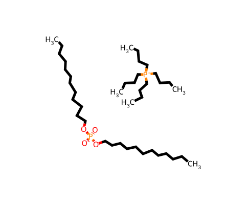 CCCCCCCCCCCCOP(=O)([O-])OCCCCCCCCCCCC.CCCC[P+](CCCC)(CCCC)CCCC